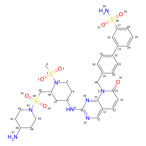 CS(=O)(=O)N1CCC(Nc2ncc3ccc(=O)n(Cc4ccc(-c5cccc(S(N)(=O)=O)c5)cc4)c3n2)CC1CS(=O)(=O)N1CCC(N)CC1